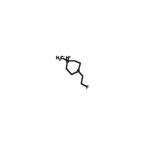 [CH2-][NH+]1CCN(CCF)CC1